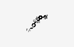 Cn1cc(-c2ccc3nnc(NC(=O)C4CCN(CCC(F)(F)F)CC4)cc3c2)nn1